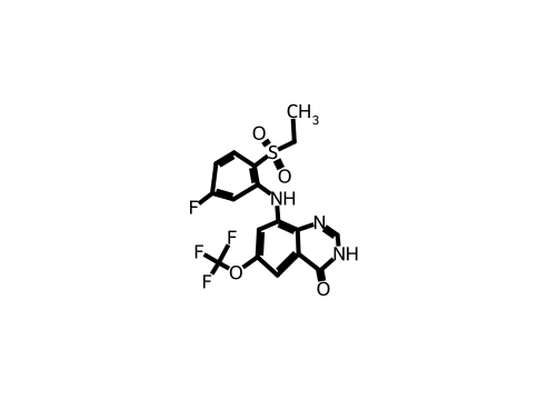 CCS(=O)(=O)c1ccc(F)cc1Nc1cc(OC(F)(F)F)cc2c(=O)[nH]cnc12